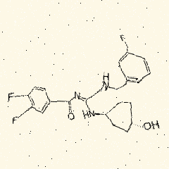 O=C(/N=C(/NCc1cccc(F)c1)N[C@H]1CC[C@H](O)CC1)c1ccc(F)c(F)c1